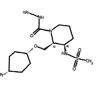 CCCNC(=O)N1CCC[C@@H](NS(C)(=O)=O)[C@H]1CO[C@H]1CC[C@@H](C(C)C)CC1